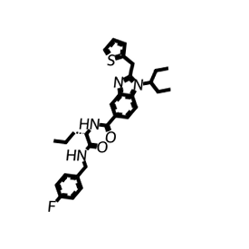 CCC[C@H](NC(=O)c1ccc2c(c1)nc(Cc1cccs1)n2C(CC)CC)C(=O)NCc1ccc(F)cc1